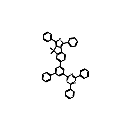 CC1(C)c2cc(-c3cc(-c4ccccc4)cc(-c4nc(-c5ccccc5)nc(-c5ccccc5)n4)c3)ccc2-c2c(-c3ccccc3)sc(-c3ccccc3)c21